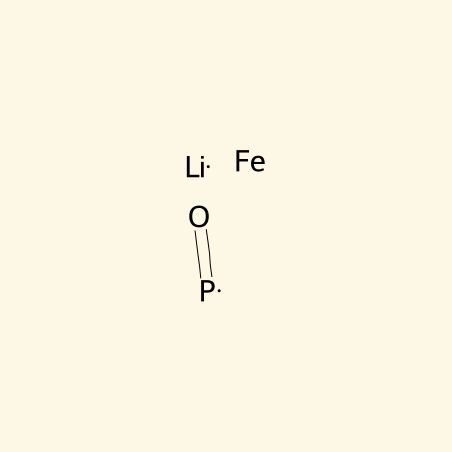 O=[P].[Fe].[Li]